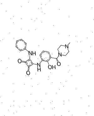 CN1CCN(C(=O)c2cccc(Nc3c(Nc4ccccc4)c(=O)c3=O)c2O)CC1